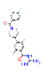 Cc1cc(C2CCN(C(=O)c3ccc(F)cc3)CC2)c(C)cc1C(=O)NC(=N)N